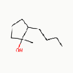 CCCCC1CCCC1(C)O